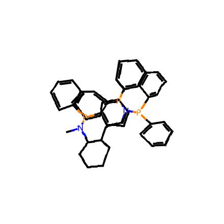 CN(C1CCCCC1CCN(P(c1ccccc1)c1ccccc1)P(c1ccccc1)c1ccccc1)P(c1ccccc1)c1ccccc1